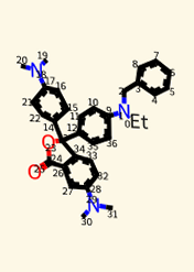 CCN(Cc1ccccc1)c1ccc(C2(c3ccc(N(C)C)cc3)OC(=O)c3cc(N(C)C)ccc32)cc1